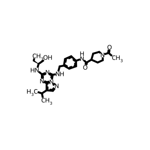 CC[C@@H](CO)Nc1nc(NCc2ccc(NC(=O)C3CCN(C(C)=O)CC3)cc2)n2ncc(C(C)C)c2n1